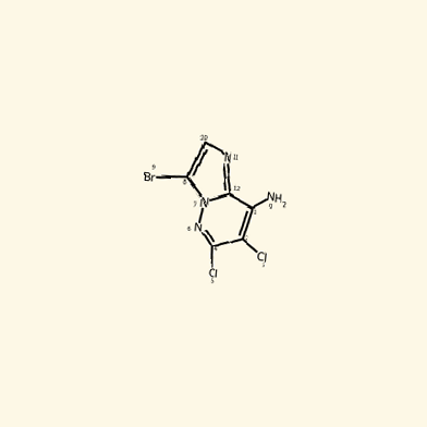 Nc1c(Cl)c(Cl)nn2c(Br)cnc12